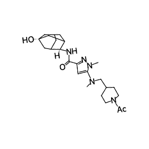 CC(=O)N1CCC(CN(C)c2cc(C(=O)N[C@H]3C4CC5CC3C[C@](O)(C5)C4)nn2C)CC1